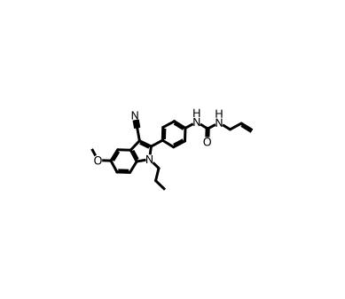 C=CCNC(=O)Nc1ccc(-c2c(C#N)c3cc(OC)ccc3n2CCC)cc1